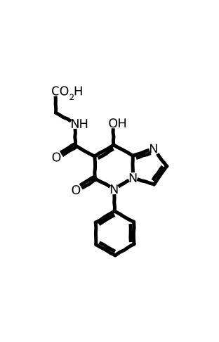 O=C(O)CNC(=O)c1c(O)c2nccn2n(-c2ccccc2)c1=O